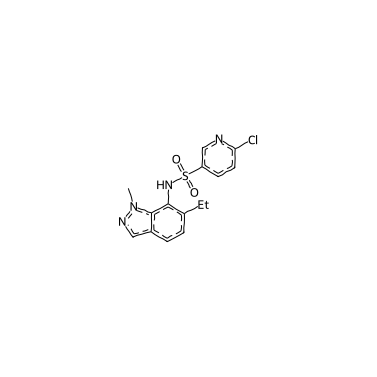 CCc1ccc2cnn(C)c2c1NS(=O)(=O)c1ccc(Cl)nc1